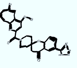 CCOc1cc(C(=O)N2CCC3(CC2)CC(=O)c2cc(-c4nnn[nH]4)ccc2O3)nc2ccc(CC)cc12